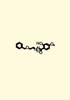 COc1ccc(C(=O)NN=CCOCc2ccccc2)c(O)c1